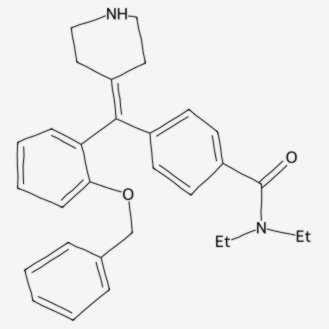 CCN(CC)C(=O)c1ccc(C(=C2CCNCC2)c2ccccc2OCc2ccccc2)cc1